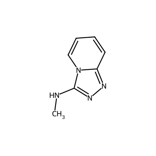 CNc1nnc2ccccn12